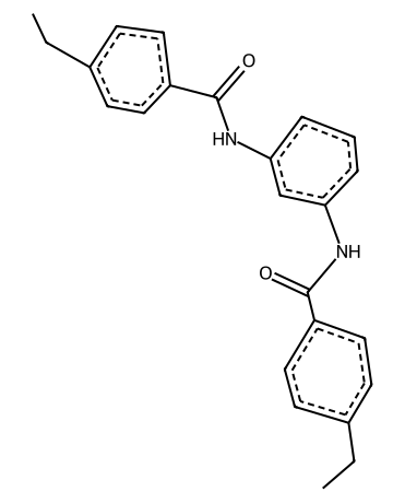 CCc1ccc(C(=O)Nc2cccc(NC(=O)c3ccc(CC)cc3)c2)cc1